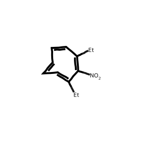 CCC1=C\C=C\C=C/C(CC)=C\1[N+](=O)[O-]